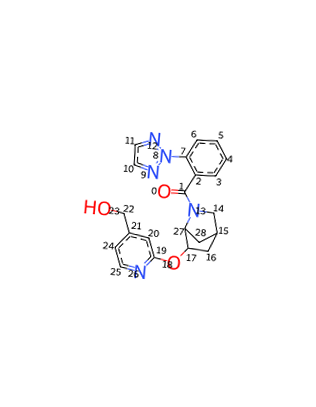 O=C(c1ccccc1-n1nccn1)N1CC2CC(Oc3cc(CO)ccn3)C1C2